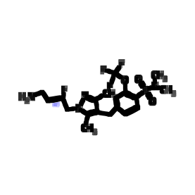 Cc1nn(C/C(F)=C/CN)c(C)c1Cc1ccc(S(=O)(=O)N(C)C)c(OC(F)(F)F)c1